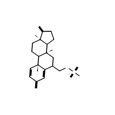 C[C@]12C=CC(=O)C=C1C(COS(C)(=O)=O)C[C@@H]1[C@@H]2CC[C@]2(C)C(=O)CC[C@@H]12